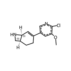 COc1cc(C2=C[C@@H]3NC[C@@H]3CC2)cnc1Cl